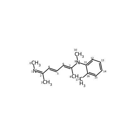 C\N=C(C)/C=C/C=C(\C)N(C)c1ccccc1C